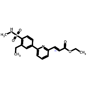 CCOC(=O)/C=C/c1cccc(-c2ccc(S(=O)(=O)NC)c(CC)c2)n1